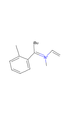 C=C/[N+](C)=C(/c1ccccc1C)C(C)CC